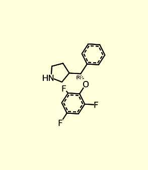 Fc1cc(F)c(O[C@@H](c2ccccc2)C2CCNC2)c(F)c1